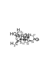 C[C@]12C[C@H](O)[C@@]3(C)CC[C@H]4[C@@H](CCC5=CC(=O)CC[C@@H]54)[C@]13C2